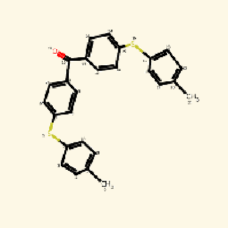 Cc1ccc(Sc2ccc(C(=O)c3ccc(Sc4ccc(C)cc4)cc3)cc2)cc1